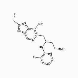 CCCc1c(CC(CC=N)Nc2ncccc2F)ncn2nc(CF)nc12